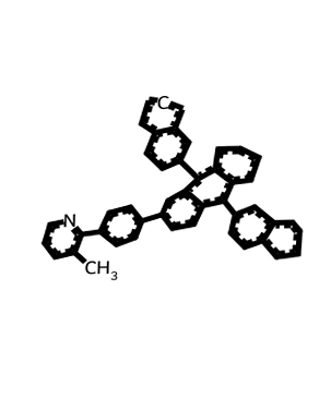 Cc1cccnc1-c1ccc(-c2ccc3c(-c4ccc5ccccc5c4)c4ccccc4c(-c4ccc5ccccc5c4)c3c2)cc1